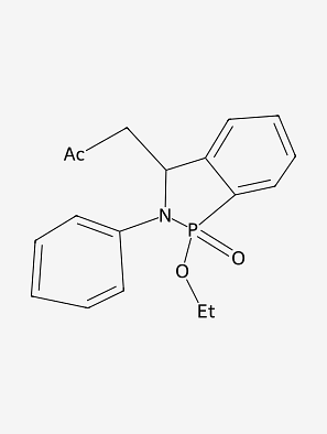 CCOP1(=O)c2ccccc2C(CC(C)=O)N1c1ccccc1